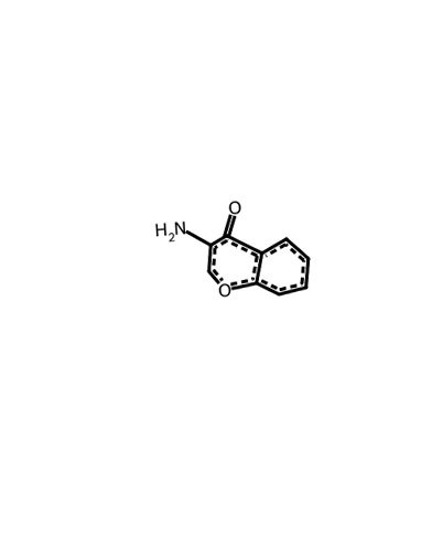 Nc1coc2ccccc2c1=O